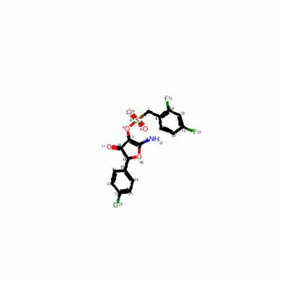 NC1=C(OS(=O)(=O)Cc2ccc(F)cc2F)C(=O)C(c2ccc(Cl)cc2)O1